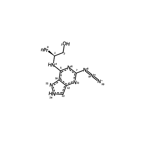 CCC[C@@H](CO)Nc1nc(N=[N+]=[N-])nc2c[nH]nc12